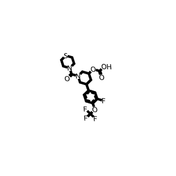 O=C(O)OC1CC(c2ccc(OC(F)(F)F)c(F)c2)CN(C(=O)N2CCSCC2)C1